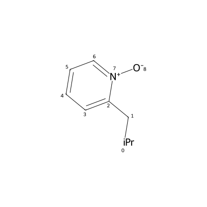 CC(C)Cc1cccc[n+]1[O-]